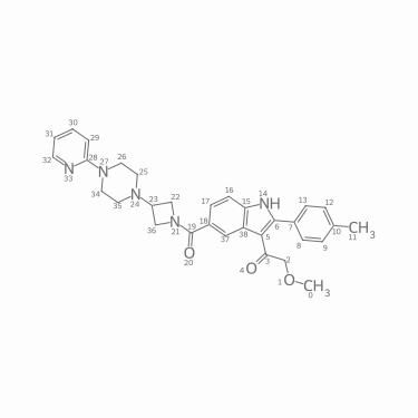 COCC(=O)c1c(-c2ccc(C)cc2)[nH]c2ccc(C(=O)N3CC(N4CCN(c5ccccn5)CC4)C3)cc12